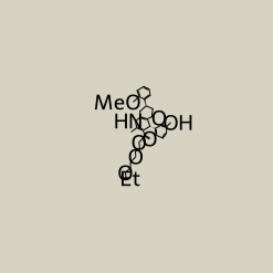 CCOCCOCCOC(=O)C1=C(C)NC2=C(C(=O)C[C@H](c3ccccc3OC)C2)[C@@H]1c1cccc(O)c1